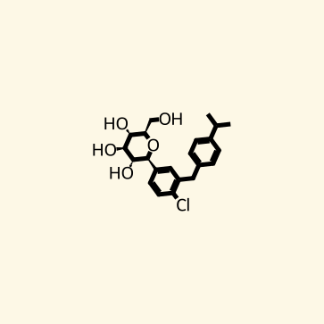 CC(C)c1ccc(Cc2cc([C@@H]3O[C@H](CO)[C@@H](O)[C@H](O)[C@H]3O)ccc2Cl)cc1